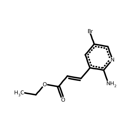 CCOC(=O)C=Cc1cc(Br)cnc1N